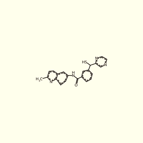 Cc1ccc2cc(NC(=O)c3cccc(C(S)c4cnccn4)c3)ccc2n1